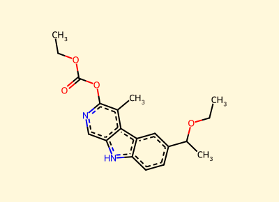 CCOC(=O)Oc1ncc2[nH]c3ccc(C(C)OCC)cc3c2c1C